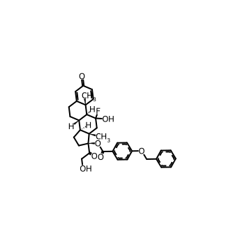 C[C@]12C=CC(=O)C=C1CC[C@@H]1[C@@H]2C(O)(F)C[C@@]2(C)[C@H]1CC[C@@]2(OC(=O)c1ccc(OCc2ccccc2)cc1)C(=O)CO